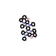 c1ccc(N2c3cc4c(cc3B3c5ccccc5N(c5ccccc5)c5c3c2cc2oc3ccccc3c52)B2c3ccccc3N(c3ccccc3)c3cc5oc6ccccc6c5c(c32)N4c2ccccc2)cc1